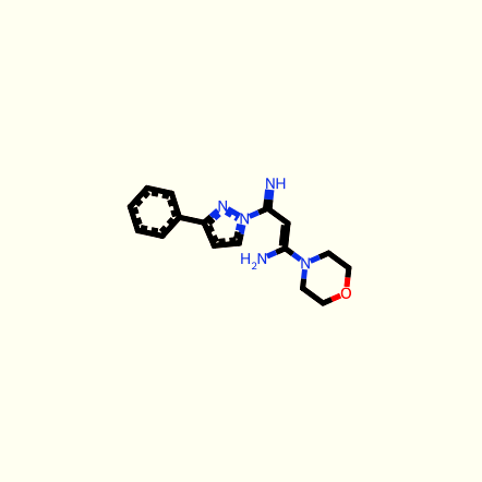 N=C(/C=C(\N)N1CCOCC1)n1ccc(-c2ccccc2)n1